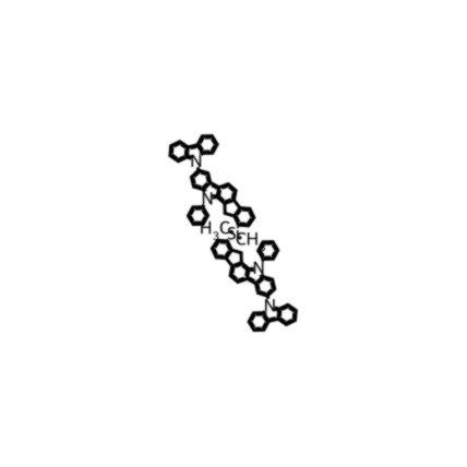 C[Si](C)(c1cccc2c1Cc1c-2ccc2c3cc(-n4c5ccccc5c5ccccc54)ccc3n(-c3ccccc3)c12)c1cccc2c1Cc1c-2ccc2c3cc(-n4c5ccccc5c5ccccc54)ccc3n(-c3ccccc3)c12